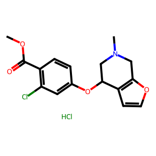 COC(=O)c1ccc(OC2CN(C)Cc3occc32)cc1Cl.Cl